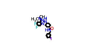 CN(C)c1nc(N[C@H]2CC[C@@H](C(=O)NCc3cccc(I)c3)CC2)nc2cc(F)c(F)cc12